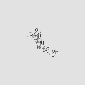 CC[C@H](O)[C@@]12CC[C@]3(C)[C@H](CC[C@@H]4[C@@]5(C)CC[C@H](OC(=O)CC(C)(C)C(=O)OC(C)(C)C)C(C)(C)[C@@H]5CC[C@]43C)C1=C(C(C)C)C(=O)C2